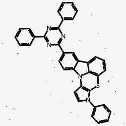 c1ccc(-c2nc(-c3ccccc3)nc(-c3ccc4c(c3)c3cccc5c3n4-c3ccn(-c4ccccc4)c3S5)n2)cc1